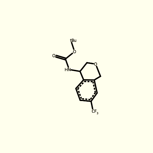 CC(C)(C)OC(=O)NC1COCc2cc(C(F)(F)F)ccc21